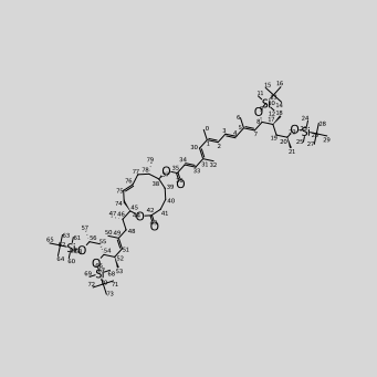 CC(=C/C=C/C(C)=C/[C@H](O[Si](C)(C)C(C)(C)C)[C@@H](C)C[C@H](C)O[Si](C)(C)C(C)(C)C)C=C(C)/C=C/C(=O)O[C@H]1CCCC(=O)O[C@@H]([C@@H](C)C/C(C)=C/[C@@H](C)[C@@H](C[C@@H](C)O[Si](C)(C)C(C)(C)C)O[Si](C)(C)C(C)(C)C)C/C=C/C[C@@H]1C